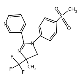 CC1(C(F)(F)F)CN(c2ccc(S(C)(=O)=O)cc2)C(c2cccnc2)=N1